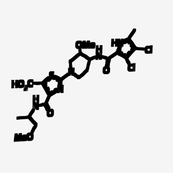 COCC(C)NC(=O)c1nc(N2CCC(NC(=O)c3[nH]c(C)c(Cl)c3Cl)C(OC)C2)sc1C(=O)O